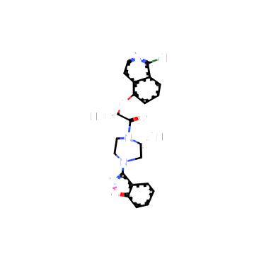 C[C@H](Oc1cccc2c(Cl)nccc12)C(=O)N1CCN(c2noc3ccccc23)C[C@H]1C